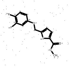 COC(=O)c1ccc(COc2ccc(F)c(F)c2)s1